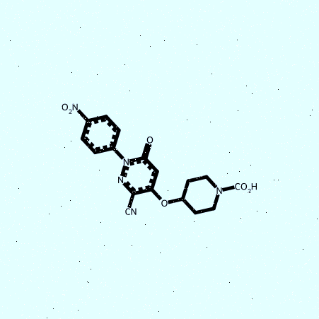 N#Cc1nn(-c2ccc([N+](=O)[O-])cc2)c(=O)cc1OC1CCN(C(=O)O)CC1